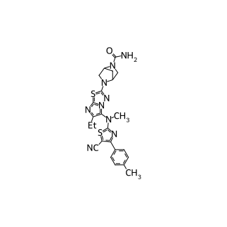 CCc1nc2sc(N3CC4CC3CN4C(N)=O)nn2c1N(C)c1nc(-c2ccc(C)cc2)c(C#N)s1